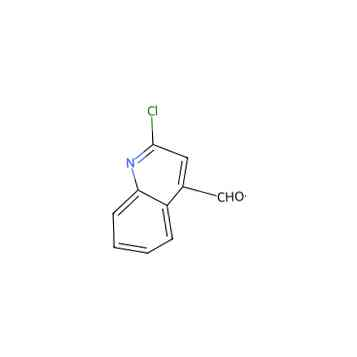 O=[C]c1cc(Cl)nc2ccccc12